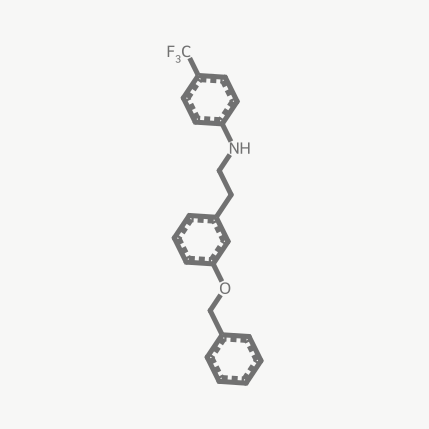 FC(F)(F)c1ccc(NCCc2cccc(OCc3ccccc3)c2)cc1